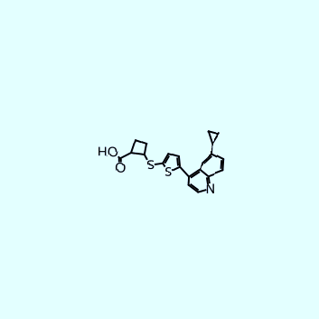 O=C(O)C1CCC1Sc1ccc(-c2ccnc3ccc(C4CC4)cc23)s1